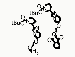 CC(C)(C)OC(=O)N1CCCC(c2cn3cc(OCCON)ccc3n2)C1.CC(C)(C)OC(=O)N1CCCC(c2cn3cc(OCCON4C(=O)c5ccccc5C4=O)ccc3n2)C1